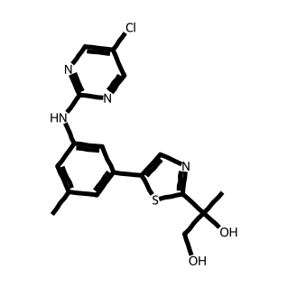 Cc1cc(Nc2ncc(Cl)cn2)cc(-c2cnc(C(C)(O)CO)s2)c1